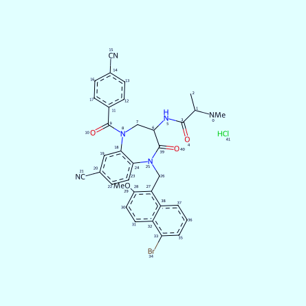 CNC(C)C(=O)NC1CN(C(=O)c2ccc(C#N)cc2)c2cc(C#N)ccc2N(Cc2c(OC)ccc3c(Br)cccc23)C1=O.Cl